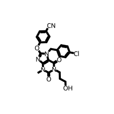 Cn1c(=O)n(CCCO)c(=O)c2c1nc(Oc1ccc(C#N)cc1)n2Cc1ccc(Cl)cc1